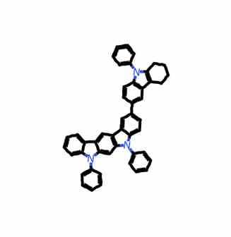 C1=C=CC(n2c3c(c4cc(-c5ccc6c(c5)c5cc7c8ccccc8n(-c8ccccc8)c7cc5n6-c5ccccc5)ccc42)CCCC3)=CC=1